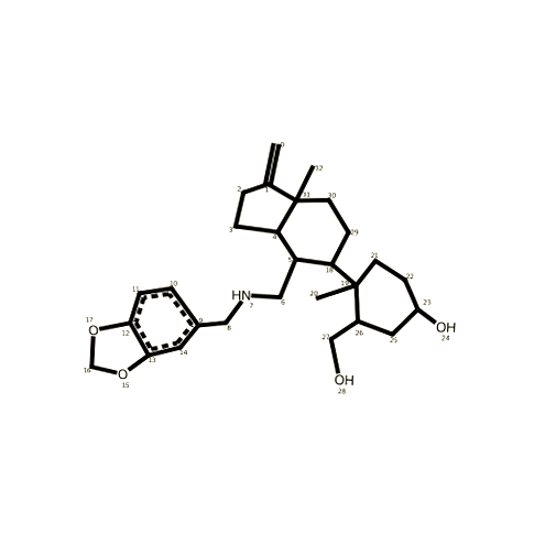 C=C1CCC2C(CNCc3ccc4c(c3)OCO4)C(C3(C)CCC(O)CC3CO)CCC12C